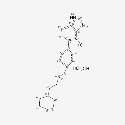 Cl.Cl.Clc1c(-c2ccc(CNCCC3CCCCC3)cc2)ccc2[nH]cnc12